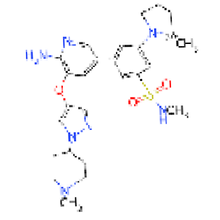 CNS(=O)(=O)c1cc(-c2cnc(N)c(Oc3cnn(C4CCN(C)CC4)c3)c2)cc(N2CCC[C@H]2C)c1